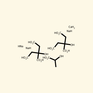 CC(O)C(=O)O.O=C(O)CC(O)(CC(=O)O)C(=O)O.O=C(O)CC(O)(CC(=O)O)C(=O)O.[CaH2].[NaH].[NaH].[NaH]